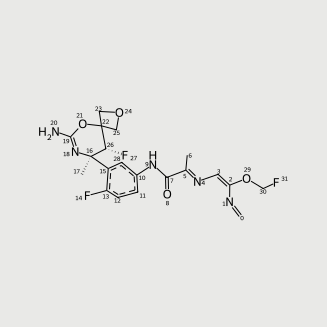 C=N/C(=C\N=C(/C)C(=O)Nc1ccc(F)c([C@@]2(C)N=C(N)OC3(COC3)[C@@H]2F)c1)OCF